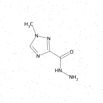 Cn1cnc(C(=O)NN)n1